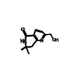 CC1(C)Cc2nc(CO)ccc2C(=O)N1